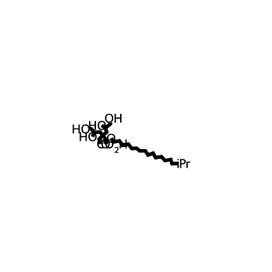 CC(C)CCCCCCCCCCCCCCCOC(=O)C(CC(=O)O)(CC(O)CO)CC(O)CO